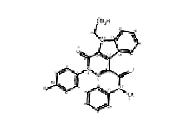 CCN(C(=O)c1nn(-c2ccc(C)cc2)c(=O)c2c1c1ccccc1n2CC(=O)O)c1ccccc1